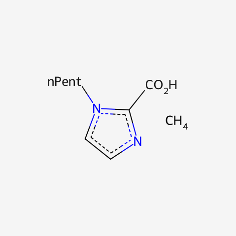 C.CCCCCn1ccnc1C(=O)O